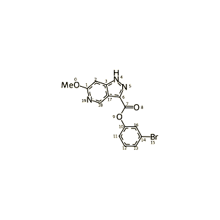 COc1cc2[nH]nc(C(=O)Oc3cccc(Br)c3)c2cn1